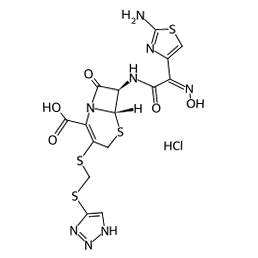 Cl.Nc1nc(/C(=N/O)C(=O)N[C@@H]2C(=O)N3C(C(=O)O)=C(SCSc4c[nH]nn4)CS[C@@H]23)cs1